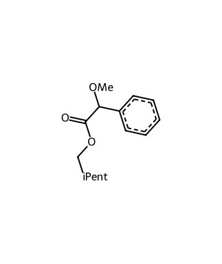 CCCC(C)COC(=O)C(OC)c1ccccc1